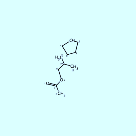 C1CCOC1.CC(=O)OCC(C)C